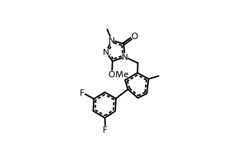 COc1nn(C)c(=O)n1Cc1cc(-c2cc(F)cc(F)c2)ccc1C